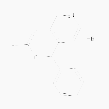 Br.CC(=O)OC(c1ccccc1)c1ccncc1